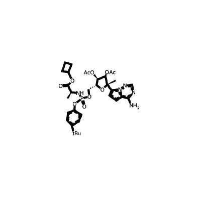 CC(=O)O[C@H]1[C@@H](OC(C)=O)[C@](C)(c2ccc3c(N)ncnn23)O[C@@H]1COP(=O)(N[C@@H](C)C(=O)OC1CCC1)Oc1ccc(C(C)(C)C)cc1